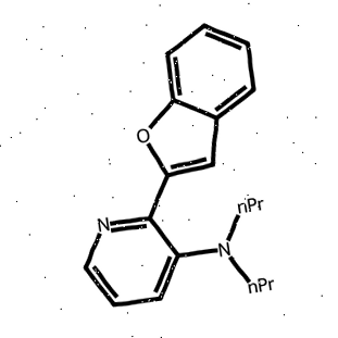 CCCN(CCC)c1cccnc1-c1cc2ccccc2o1